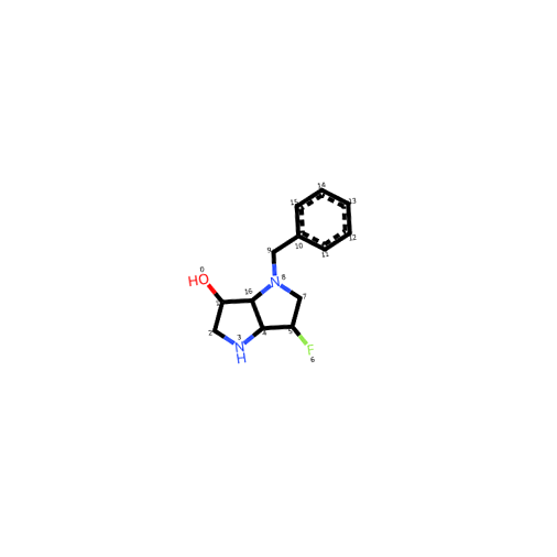 OC1CNC2C(F)CN(Cc3ccccc3)C12